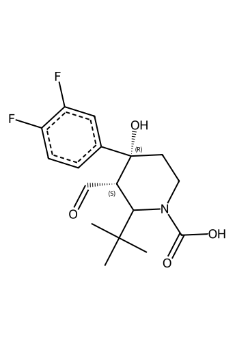 CC(C)(C)C1[C@H](C=O)[C@@](O)(c2ccc(F)c(F)c2)CCN1C(=O)O